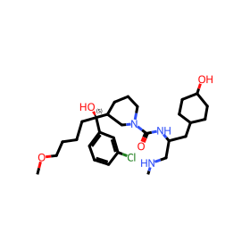 CNCC(CC1CCC(O)CC1)NC(=O)N1CCCC([C@@](O)(CCCCOC)c2cccc(Cl)c2)C1